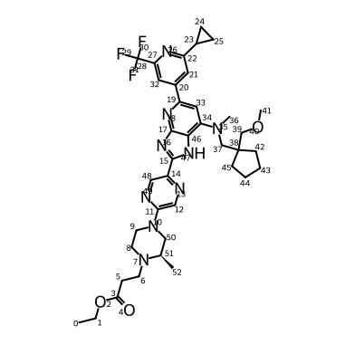 CCOC(=O)CCN1CCN(c2cnc(-c3nc4nc(-c5cc(C6CC6)nc(C(F)(F)F)c5)cc(N(C)CC5(COC)CCCC5)c4[nH]3)cn2)C[C@H]1C